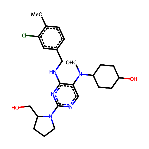 COc1ccc(CNc2nc(N3CCCC3CO)ncc2N(C=O)C2CCC(O)CC2)cc1Cl